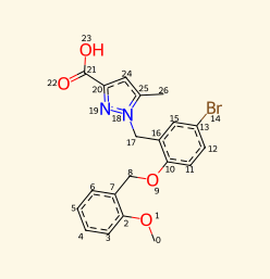 COc1ccccc1COc1ccc(Br)cc1Cn1nc(C(=O)O)cc1C